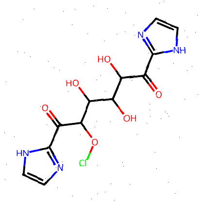 O=C(c1ncc[nH]1)C(O)C(O)C(O)C(OCl)C(=O)c1ncc[nH]1